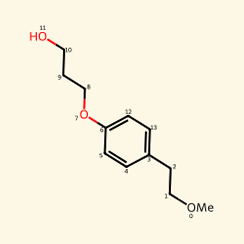 COCCc1ccc(OCCCO)cc1